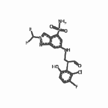 NS(=O)(=O)c1cc(NCC(C=O)c2c(O)ccc(F)c2Cl)cc2nn(C(F)F)cc12